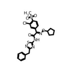 CS(=O)(=O)c1ccc(/C(=N\OC2CCCC2)C(=O)Nc2nc(Cc3ccccc3)ns2)cc1Cl